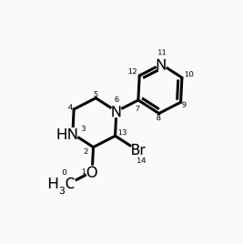 COC1NCCN(c2cccnc2)C1Br